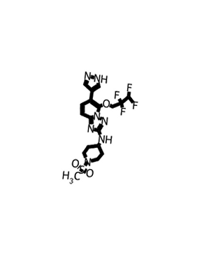 CS(=O)(=O)N1CCC(Nc2nc3ccc(-c4cn[nH]c4)c(OCC(F)(F)C(F)F)n3n2)CC1